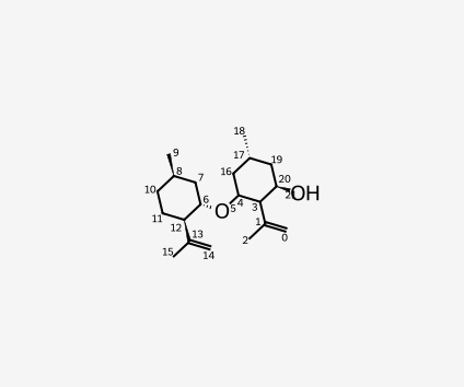 C=C(C)C1C(O[C@H]2C[C@H](C)CC[C@@H]2C(=C)C)C[C@H](C)C[C@H]1O